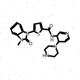 Cn1c(=O)n(-c2ccc(C(=O)NC3C=NC=CC3N3CCNCC3)s2)c2ccccc21